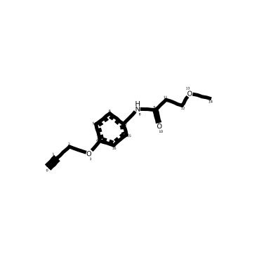 C#CCOc1ccc(NC(=O)CCOC)cc1